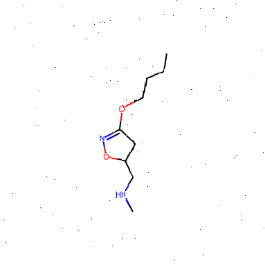 CCCCOC1=NOC(CNC)C1